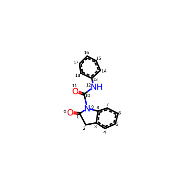 O=C1Cc2ccccc2N1C(=O)Nc1ccccc1